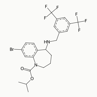 CC(C)OC(=O)N1CCCC(NCc2cc(C(F)(F)F)cc(C(F)(F)F)c2)c2ccc(Br)cc21